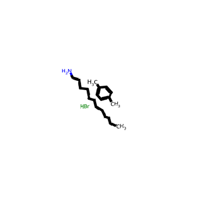 Br.CCCCCCCCCCCCN.Cc1ccc(C)cc1